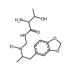 CCN(CNC(=O)C(N)C(C)O)C(C)Cc1ccc2c(c1)OCO2